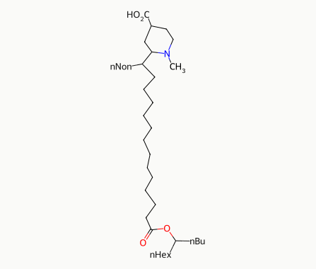 CCCCCCCCCC(CCCCCCCCCCCCC(=O)OC(CCCC)CCCCCC)C1CC(C(=O)O)CCN1C